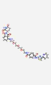 O=C1CCC(N2C(=O)c3cccc(NCCOCCOCCOCCNC(=O)c4ccc(C(=O)Nc5nc(-c6ccccn6)cs5)cc4)c3C2=O)C(=O)N1